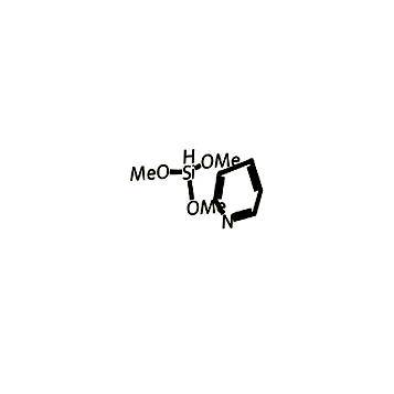 CO[SiH](OC)OC.c1ccncc1